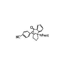 CCCCCC1(c2ccccc2C(=O)Oc2ccc(C#N)cc2)CCCCC1